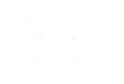 CCCCCCCCCCCCC(C(=O)O)C(=O)O.CCCCCCCCCCCCOC(=O)CC(=O)O